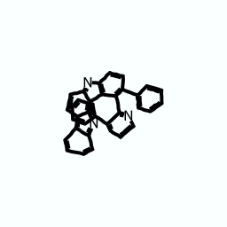 c1ccc(-c2cccnc2-c2c(-c3ccccc3)ccc3c2-c2c4c(ccc2=N3)=c2ccccc2=N4)cc1